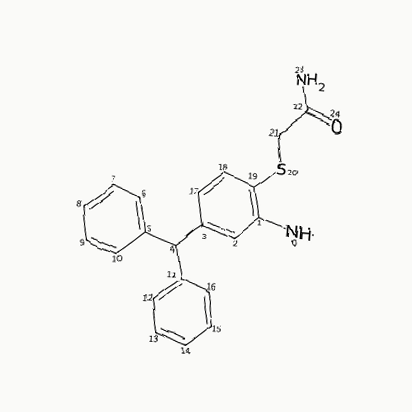 [NH]c1cc(C(c2ccccc2)c2ccccc2)ccc1SCC(N)=O